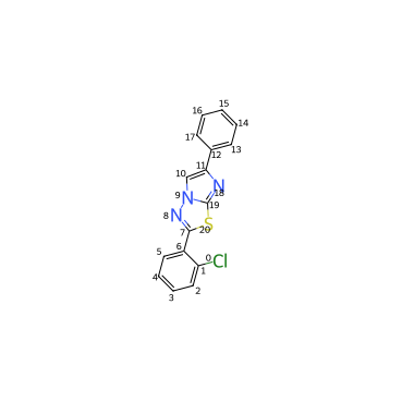 Clc1ccccc1-c1nn2cc(-c3ccccc3)nc2s1